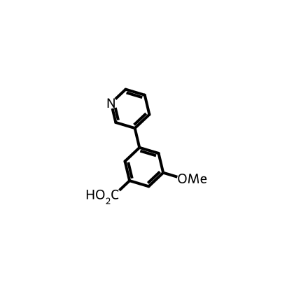 COc1cc(C(=O)O)cc(-c2cccnc2)c1